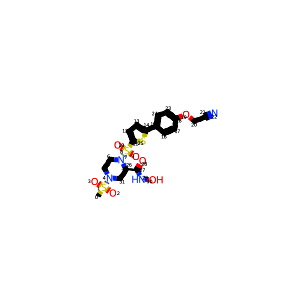 CS(=O)(=O)N1CCN(S(=O)(=O)c2ccc(-c3ccc(OCC#N)cc3)s2)[C@@H](C(=O)NO)C1